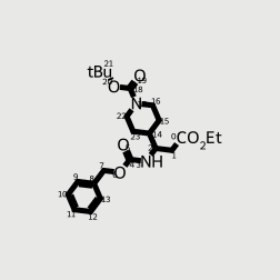 CCOC(=O)CC(NC(=O)OCc1ccccc1)C1CCN(C(=O)OC(C)(C)C)CC1